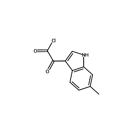 Cc1ccc2c(C(=O)C(=O)Cl)c[nH]c2c1